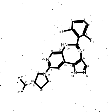 Fc1cccc(F)c1C1=Nc2cn[nH]c2-c2cc(N3CC[C@H](C(F)F)C3)ncc2N1